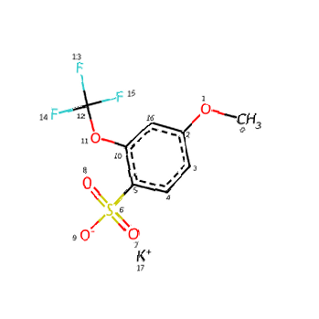 COc1ccc(S(=O)(=O)[O-])c(OC(F)(F)F)c1.[K+]